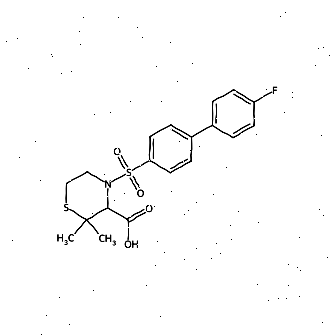 CC1(C)SCCN(S(=O)(=O)c2ccc(-c3ccc(F)cc3)cc2)C1C(=O)O